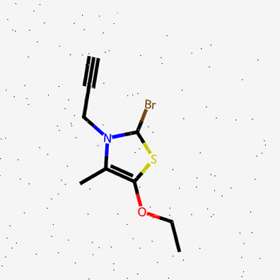 C#CCN1C(C)=C(OCC)SC1Br